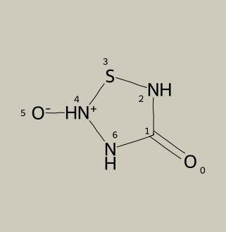 O=C1NS[NH+]([O-])N1